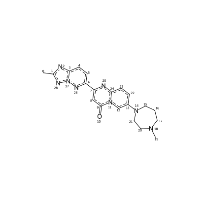 Cc1nc2ccc(-c3cc(=O)n4cc(N5CCCN(C)CC5)ccc4n3)nn2n1